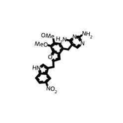 COc1cc(Cc2cnc(N)nc2N)c2cc(Cc3c[nH]c4ccc([N+](=O)[O-])cc34)oc2c1OC